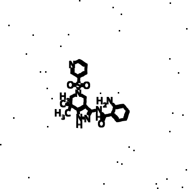 CC1(C)CN(S(=O)(=O)c2cccnc2)Cc2c(NC(=O)c3ccccc3N)n[nH]c21